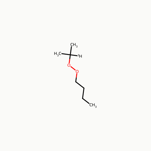 [3H]C(C)(C)OOCCCC